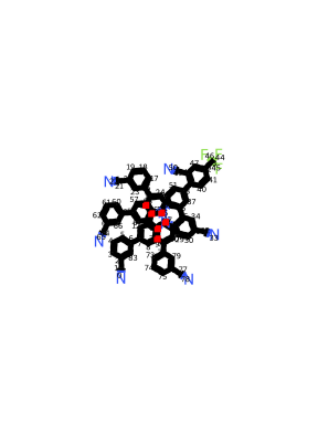 N#Cc1cccc(-c2ccc3c(c2)c2cc(-c4cccc(C#N)c4)ccc2n3-c2ccc(C#N)cc2-c2cc(-c3ccc(C(F)(F)F)cc3C#N)ccc2-n2c3ccc(-c4cccc(C#N)c4)cc3c3cc(-c4cccc(C#N)c4)ccc32)c1